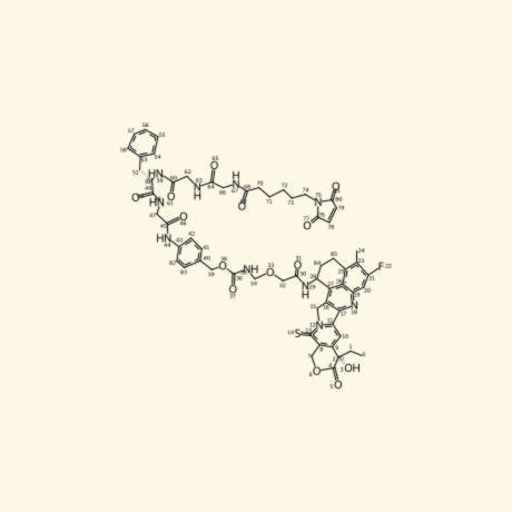 CC[C@@]1(O)C(=O)OCc2c1cc1n(c2=S)Cc2c-1nc1cc(F)c(C)c3c1c2C(NC(=O)COCNC(=O)OCc1ccc(NC(=O)CNC(=O)[C@H](Cc2ccccc2)NC(=O)CNC(=O)CNC(=O)CCCCCN2C(=O)C=CC2=O)cc1)CC3